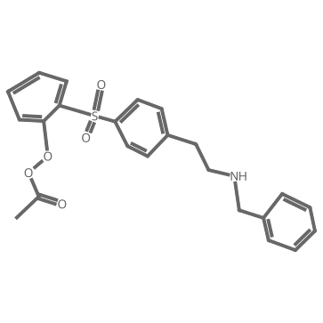 CC(=O)OOc1ccccc1S(=O)(=O)c1ccc(CCNCc2ccccc2)cc1